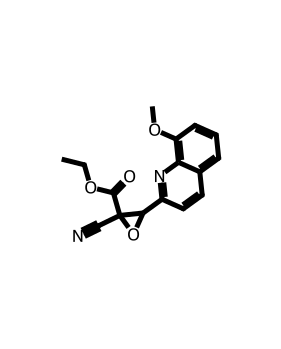 CCOC(=O)C1(C#N)OC1c1ccc2cccc(OC)c2n1